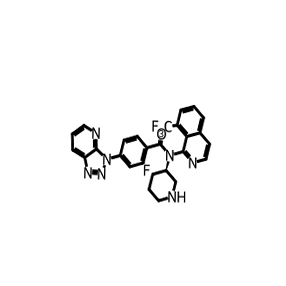 O=C(c1ccc(-n2nnc3cccnc32)cc1F)N(c1nccc2cccc(C(F)(F)F)c12)[C@@H]1CCCNC1